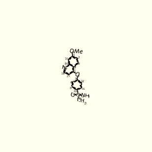 COc1ccc2c(Oc3ccc(S(C)(=N)=O)cc3)ccnc2c1